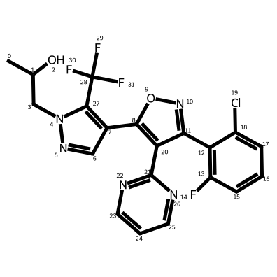 CC(O)Cn1ncc(-c2onc(-c3c(F)cccc3Cl)c2-c2ncccn2)c1C(F)(F)F